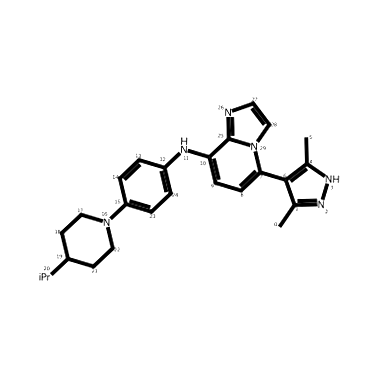 Cc1n[nH]c(C)c1-c1ccc(Nc2ccc(N3CCC(C(C)C)CC3)cc2)c2nccn12